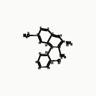 Cc1ccc2ncc(N)c(-c3ccccc3Cl)c2c1.N